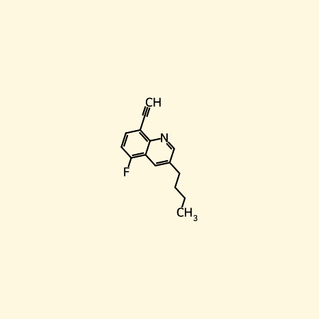 C#Cc1ccc(F)c2cc(CCCC)cnc12